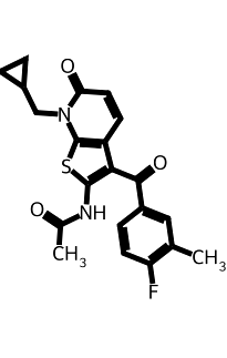 CC(=O)Nc1sc2c(ccc(=O)n2CC2CC2)c1C(=O)c1ccc(F)c(C)c1